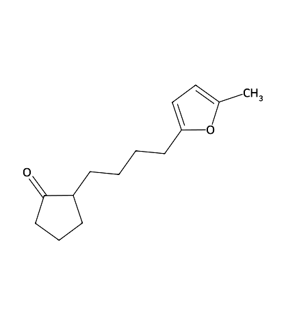 Cc1ccc(CCCCC2CCCC2=O)o1